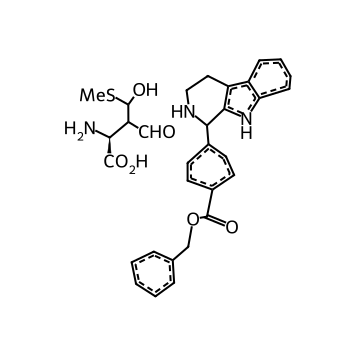 CSC(O)C(C=O)[C@H](N)C(=O)O.O=C(OCc1ccccc1)c1ccc(C2NCCc3c2[nH]c2ccccc32)cc1